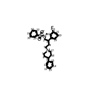 CN(CC(CCN1CCC(c2ccccc2)CC1)c1cccc(F)c1)S(=O)(=O)c1ccccc1